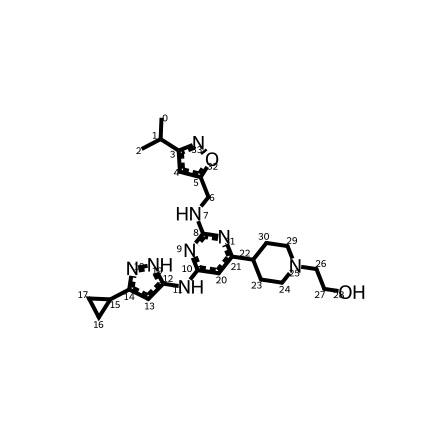 CC(C)c1cc(CNc2nc(Nc3cc(C4CC4)n[nH]3)cc(C3CCN(CCO)CC3)n2)on1